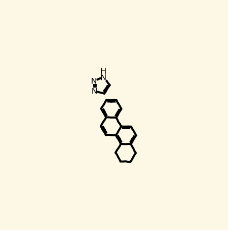 c1c[nH]nn1.c1ccc2c(c1)ccc1c3c(ccc12)CCCC3